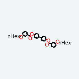 CCCCCCOc1cccc(C(=O)Oc2ccc(-c3ccc(OC(=O)c4cccc(OCCCCCC)c4)cc3)cc2)c1